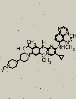 COc1cc(N2CCC(N3CCN(C)CC3)CC2)c(C(C)C)cc1Nc1ncc(C2CC2)c(Nc2ccc3nccnc3c2N(C)SC)n1